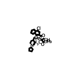 CCC(C)(NC(=O)c1cc(Cl)c2ccccc2c1OCC1CCN(C2CCCC2)CC1)C(=O)O